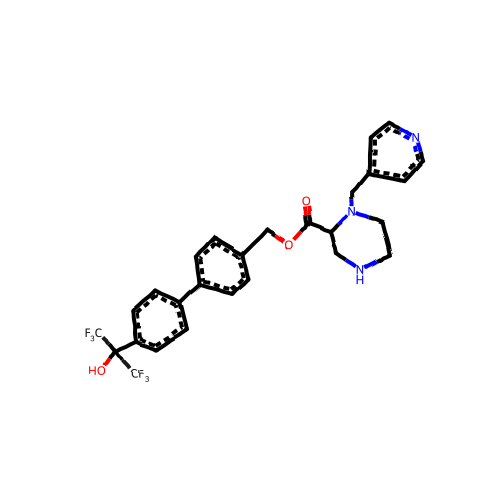 O=C(OCc1ccc(-c2ccc(C(O)(C(F)(F)F)C(F)(F)F)cc2)cc1)C1CNCCN1Cc1ccncc1